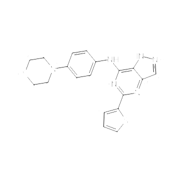 c1csc(-c2nc(Nc3ccc(N4CCSCC4)cc3)c3[nH]ncc3n2)c1